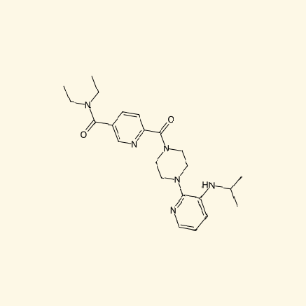 CCN(CC)C(=O)c1ccc(C(=O)N2CCN(c3ncccc3NC(C)C)CC2)nc1